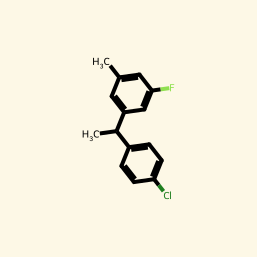 Cc1cc(F)cc(C(C)c2ccc(Cl)cc2)c1